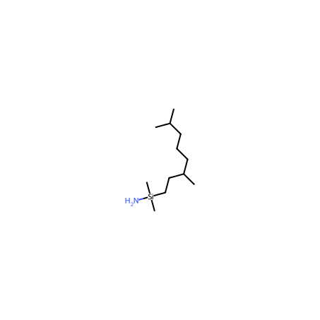 CC(C)CCCC(C)CC[Si](C)(C)N